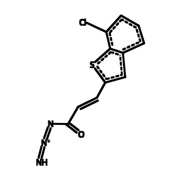 N=[N+]=NC(=O)/C=C/c1cc2cccc(Cl)c2s1